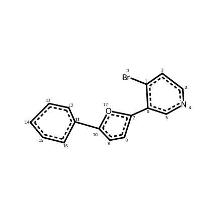 Brc1ccncc1-c1ccc(-c2ccccc2)o1